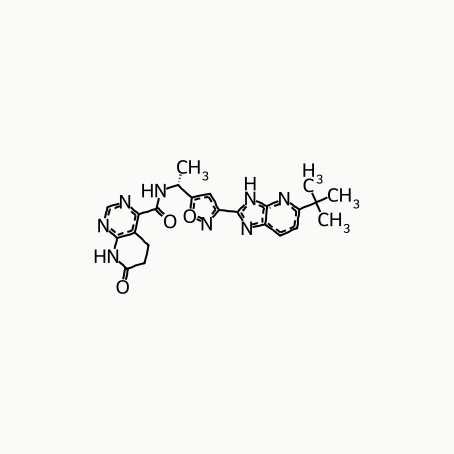 C[C@@H](NC(=O)c1ncnc2c1CCC(=O)N2)c1cc(-c2nc3ccc(C(C)(C)C)nc3[nH]2)no1